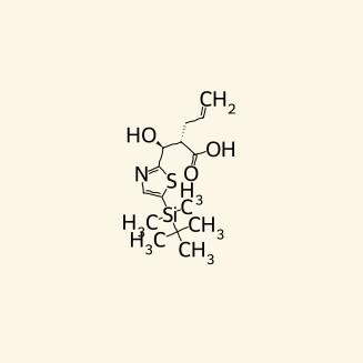 C=CC[C@H](C(=O)O)[C@H](O)c1ncc([Si](C)(C)C(C)(C)C)s1